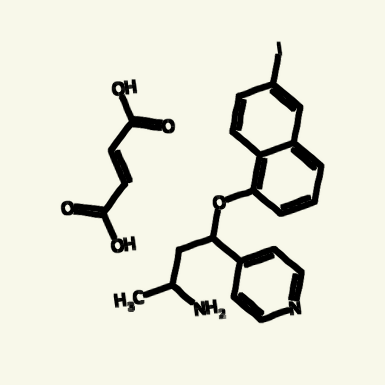 CC(N)CC(Oc1cccc2cc(I)ccc12)c1ccncc1.O=C(O)C=CC(=O)O